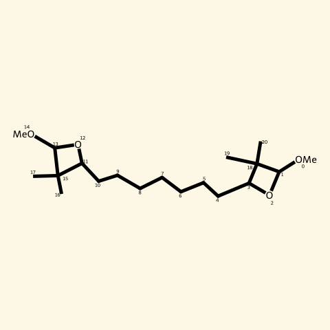 COC1OC(CCCCCCCC2OC(OC)C2(C)C)C1(C)C